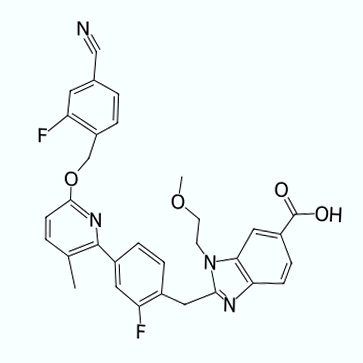 COCCn1c(Cc2ccc(-c3nc(OCc4ccc(C#N)cc4F)ccc3C)cc2F)nc2ccc(C(=O)O)cc21